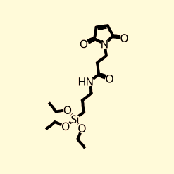 CCO[Si](CCCNC(=O)CCN1C(=O)C=CC1=O)(OCC)OCC